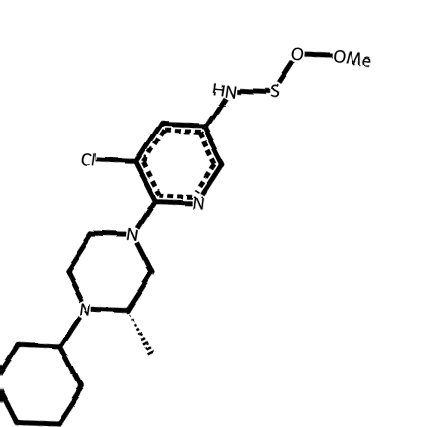 COOSNc1cnc(N2CCN(C3CCCCC3)[C@@H](C)C2)c(Cl)c1